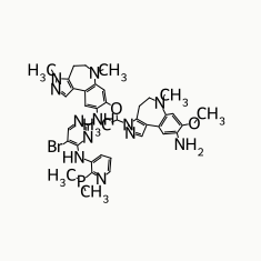 COc1cc2c(cc1N)-c1cnn(C(C)Oc3cc4c(cc3Nc3ncc(Br)c(Nc5cccnc5P(C)C)n3)-c3cnn(C)c3CCN4C)c1CCN2C